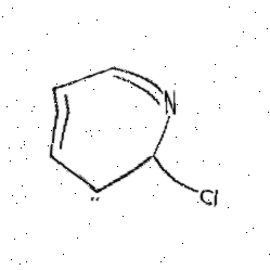 ClC1[C]C=CC=N1